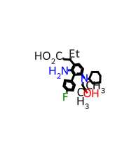 CCC(CC(=O)O)c1ccc(N(CC(C)(C)O)C2CCCCC2)c(-c2ccc(F)cc2)c1N